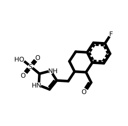 O=CC1c2ccc(F)cc2CCC1CC1=CNC(S(=O)(=O)O)N1